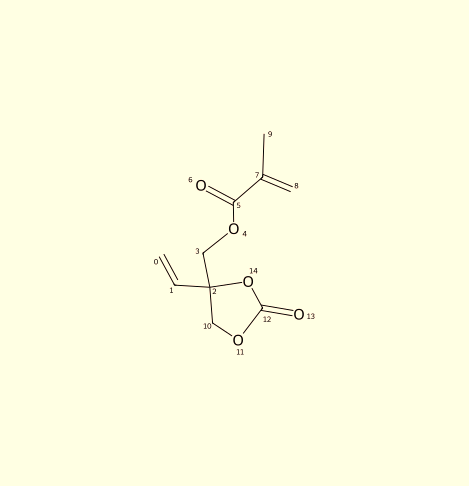 C=CC1(COC(=O)C(=C)C)COC(=O)O1